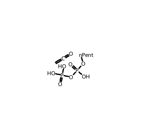 C=C=O.CCCCCOP(=O)(O)OP(=O)(O)O